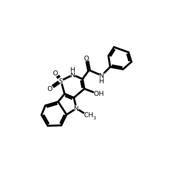 Cn1c2c(c3ccccc31)S(=O)(=O)NC(C(=O)Nc1ccccc1)=C2O